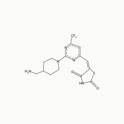 NCC1CCN(c2nc(C=C3SC(=O)NC3=O)cc(C(F)(F)F)n2)CC1